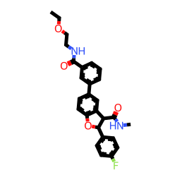 CCOCCNC(=O)c1cccc(-c2ccc3c(c2)C(C(=O)NC)C(c2ccc(F)cc2)O3)c1